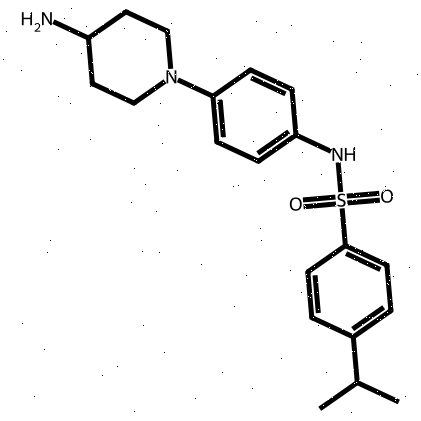 CC(C)c1ccc(S(=O)(=O)Nc2ccc(N3CCC(N)CC3)cc2)cc1